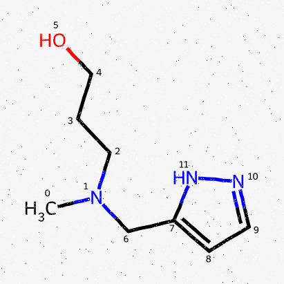 CN(CCCO)Cc1ccn[nH]1